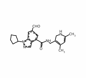 CC1=CC(C)=C(CNC(=O)c2cc(C=O)cc3c2cnn3C2CCCC2)CN1